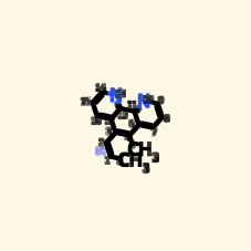 C/C=C\c1c(C)c2cccnc2c2ncccc12